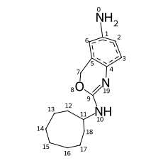 Nc1ccc2c(c1)COC(NC1CCCCCCC1)=N2